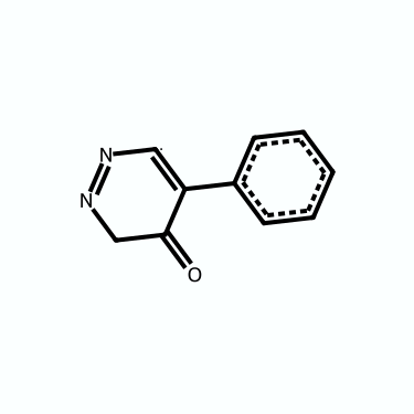 O=C1CN=N[C]=C1c1ccccc1